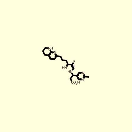 Cc1ncc(C(CC(=O)O)N/C=C(/F)C(=N)CCCc2ccc3c(n2)NCCC3)cn1